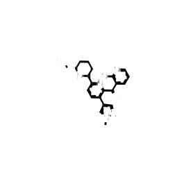 CC(C)C[C@@H]1CCCC(c2ccc(-c3cnn(C)c3)c(C(=O)c3cccnc3N)n2)N1